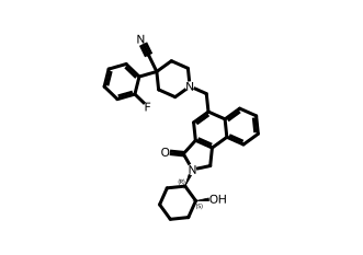 N#CC1(c2ccccc2F)CCN(Cc2cc3c(c4ccccc24)CN([C@@H]2CCCC[C@@H]2O)C3=O)CC1